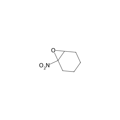 O=[N+]([O-])C12CCCCC1O2